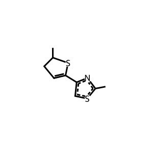 Cc1nc(C2=CCC(C)S2)cs1